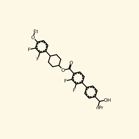 CCCC(O)c1ccc(-c2ccc(C(=O)OC3CCC(c4ccc(OCC)c(F)c4F)CC3)c(F)c2F)cc1